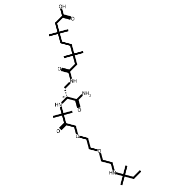 CCC(C)(C)NCCOCCOCC(=O)C(C)(C)N[C@H](CNC(=O)CC(C)(C)CCC(C)(C)CC(=O)O)C(N)=O